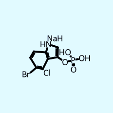 O=P(O)(O)Oc1c[nH]c2ccc(Br)c(Cl)c12.[NaH]